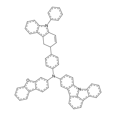 C1=CC(c2ccc(N(c3ccc4c(c3)oc3ccccc34)c3ccc4c(c3)c3cccc5c6ccccc6n4c53)cc2)Cc2c1n(-c1ccccc1)c1ccccc21